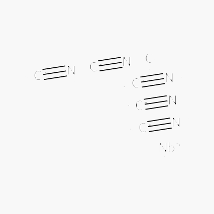 [C-]#N.[C-]#N.[C-]#N.[C-]#N.[C-]#N.[C].[Nb+5]